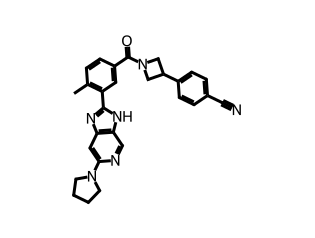 Cc1ccc(C(=O)N2CC(c3ccc(C#N)cc3)C2)cc1-c1nc2cc(N3CCCC3)ncc2[nH]1